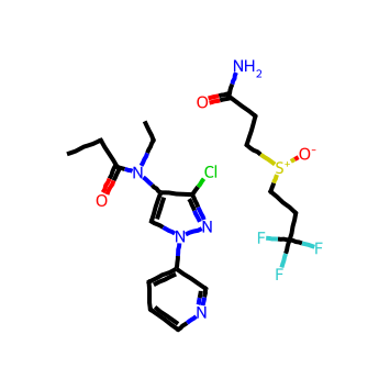 CCC(=O)N(CC)c1cn(-c2cccnc2)nc1Cl.NC(=O)CC[S+]([O-])CCC(F)(F)F